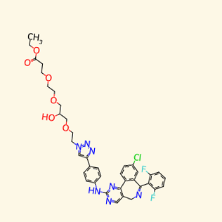 CCOC(=O)CCOCCOCC(O)COCCn1cc(-c2ccc(Nc3ncc4c(n3)-c3ccc(Cl)cc3C(c3c(F)cccc3F)=NC4)cc2)nn1